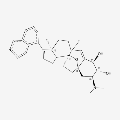 CN(C)[C@H]1C[C@@]23CC[C@]4(O2)C2CC=C(c5cccc6cnccc56)[C@@]2(C)CCC4(F)C=C3[C@@H](O)[C@@H]1O